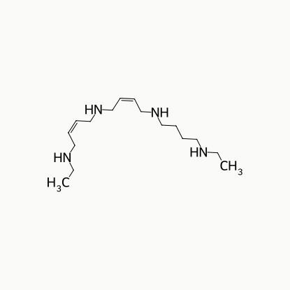 CCNC/C=C\CNC/C=C\CNCCCCNCC